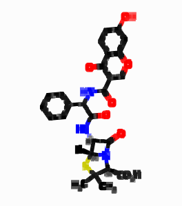 CC1(C)S[C@@H]2[C@H](NC(=O)C(NC(=O)c3coc4cc(O)ccc4c3=O)c3ccccc3)C(=O)N2[C@H]1C(=O)O